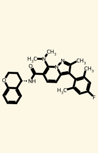 Cc1cc(F)cc(C)c1-c1c(C)nn2c(N(C)C)c(C(=O)N[C@H]3CCOc4ccccc43)ccc12